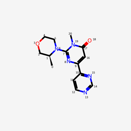 C[C@H]1COCCN1c1nc(-c2ccncn2)cc(=O)n1C